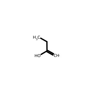 [CH]=C(O)CC